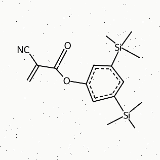 C=C(C#N)C(=O)Oc1cc([Si](C)(C)C)cc([Si](C)(C)C)c1